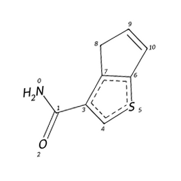 NC(=O)c1csc2c1CC=C2